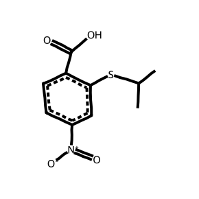 CC(C)Sc1cc([N+](=O)[O-])ccc1C(=O)O